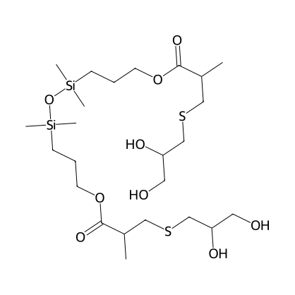 CC(CSCC(O)CO)C(=O)OCCC[Si](C)(C)O[Si](C)(C)CCCOC(=O)C(C)CSCC(O)CO